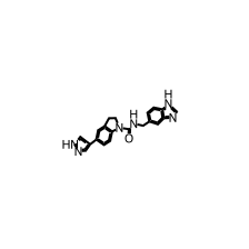 O=C(NCc1ccc2[nH]cnc2c1)N1CCc2cc(-c3cn[nH]c3)ccc21